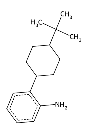 CC(C)(C)C1CCC(c2ccccc2N)CC1